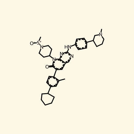 Cc1cc(C2CCCCC2)ccc1-c1cc2cnc(Nc3ccc(C4CCCN(C)C4)cc3)nc2n(C2CCN([S+](C)[O-])CC2)c1=O